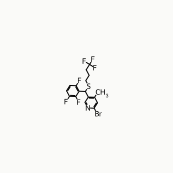 Cc1cc(Br)ncc1C(SCCCC(F)(F)F)c1c(F)ccc(F)c1F